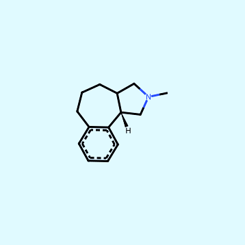 CN1CC2CCCc3ccccc3[C@H]2C1